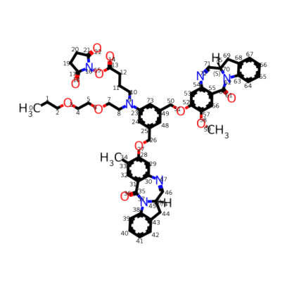 CCCOCCOCCN(CCCC(=O)ON1C(=O)CCC1=O)c1cc(COc2cc3c(cc2C)C(=O)N2c4ccccc4C[C@H]2C=N3)cc(COc2cc3c(cc2OC)C(=O)N2c4ccccc4C[C@H]2C=N3)c1